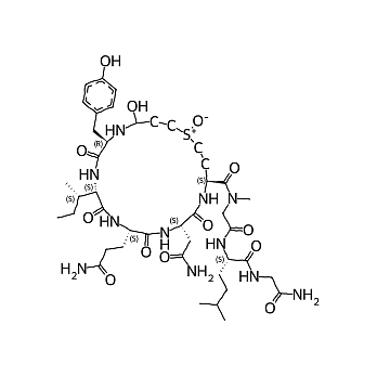 CC[C@H](C)[C@@H]1NC(=O)[C@@H](Cc2ccc(O)cc2)NC(O)CC[S+]([O-])CC[C@@H](C(=O)N(C)CC(=O)N[C@@H](CCC(C)C)C(=O)NCC(N)=O)NC(=O)[C@H](CC(N)=O)NC(=O)[C@H](CCC(N)=O)NC1=O